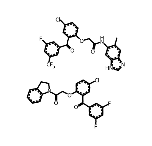 Cc1cc2nc[nH]c2cc1NC(=O)COc1ccc(Cl)cc1C(=O)c1cc(F)cc(C(F)(F)F)c1.O=C(c1cc(F)cc(F)c1)c1cc(Cl)ccc1OCC(=O)N1CCc2ccccc21